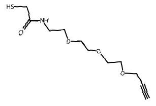 C#CCOCCOCCOCCNC(=O)CS